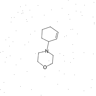 C1=CC(N2CCOCC2)CCC1